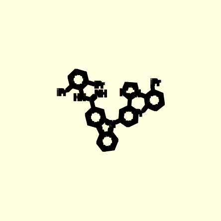 CC(C)c1cccc(C(C)C)c1NC(=N)c1ccc2c3ccccc3n(-c3cccc(-c4nccn4-c4c(C(C)C)cccc4C(C)C)c3)c2c1